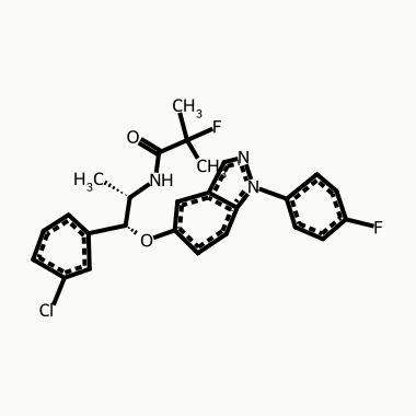 C[C@H](NC(=O)C(C)(C)F)[C@H](Oc1ccc2c(cnn2-c2ccc(F)cc2)c1)c1cccc(Cl)c1